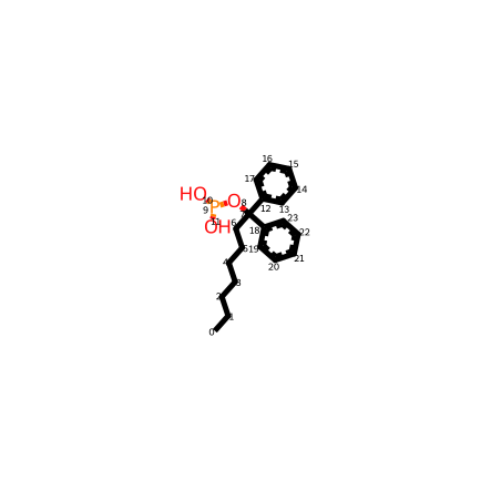 CCCCCCCC(OP(O)O)(c1ccccc1)c1ccccc1